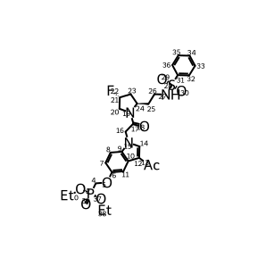 CCOP(=O)(COc1ccc2c(c1)c(C(C)=O)cn2CC(=O)N1C[C@H](F)C[C@H]1CCNS(=O)(=O)c1ccccc1)OCC